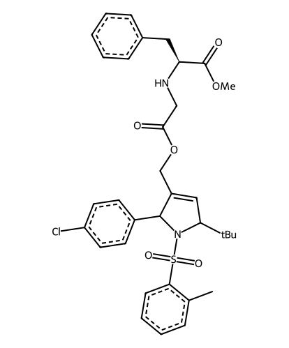 COC(=O)[C@H](Cc1ccccc1)NCC(=O)OCC1=CC(C(C)(C)C)N(S(=O)(=O)c2ccccc2C)C1c1ccc(Cl)cc1